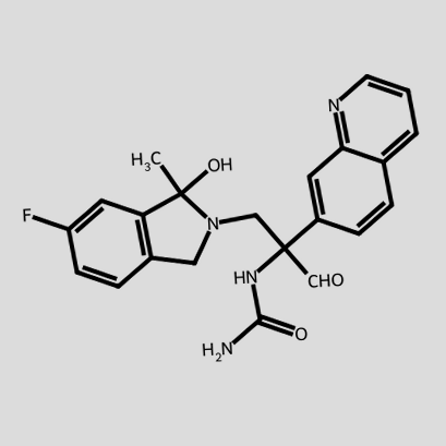 CC1(O)c2cc(F)ccc2CN1CC(C=O)(NC(N)=O)c1ccc2cccnc2c1